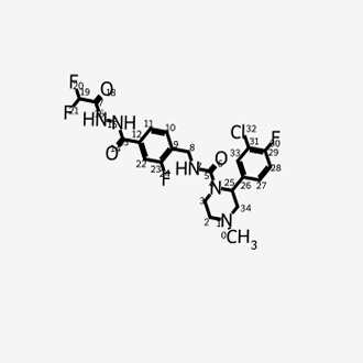 CN1CCN(C(=O)NCc2ccc(C(=O)NNC(=O)C(F)F)cc2F)C(c2ccc(F)c(Cl)c2)C1